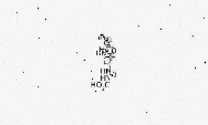 CC(C)[Si](C)(C)O[C@@H]1CO[C@@H]2C[C@H]1Nc1ccc(CNC(=O)NCC(=O)O)cc12